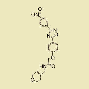 O=C(COc1ccc(-c2nc(-c3ccc([N+](=O)[O-])cc3)no2)cc1)NCC1=CCOCC1